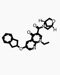 CCn1cc(C(=O)N2C[C@@H]3C[C@H]2CO3)c(=O)c2cc(OC3Cc4ccccc4C3)cnc21